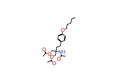 CCCCCOc1ccc(CCC(COC(C)=O)(COC(C)=O)NC(C)=O)cc1